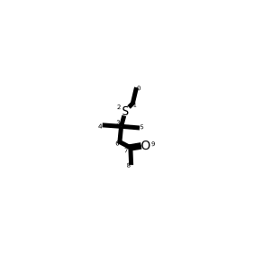 CCSC(C)(C)CC(C)=O